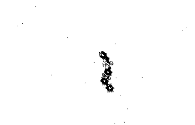 O=C(NCc1ccc(S(=O)(=O)c2cccc(-c3ccccc3)c2)cc1)c1cc2ccncc2o1